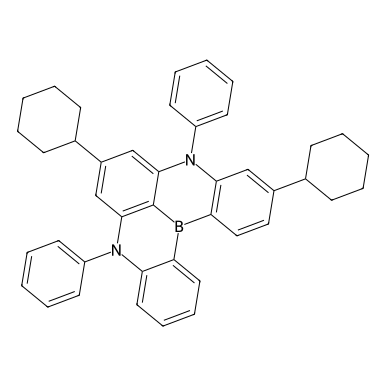 c1ccc(N2c3ccccc3B3c4ccc(C5CCCCC5)cc4N(c4ccccc4)c4cc(C5CCCCC5)cc2c43)cc1